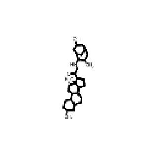 CC1CCC2C(CCC3C2CCC2(C)C(C(=O)CNC4C(C)CC5CC(O)CC4C5)CCC32)C1